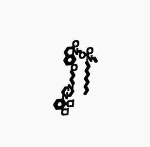 CCCCCCCCCN(CC)C(=O)OCN1C(=O)CCc2ccc(OCCCCN3CCN(c4cccc(Cl)c4Cl)CC3)cc21